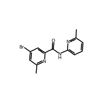 Cc1cccc(NC(=O)c2cc(Br)cc(C)n2)n1